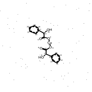 O=C([O][Cu][O]C(=O)[C@H](O)c1ccccc1)[C@H](O)c1ccccc1